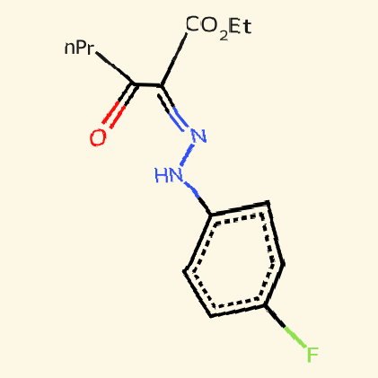 CCCC(=O)C(=NNc1ccc(F)cc1)C(=O)OCC